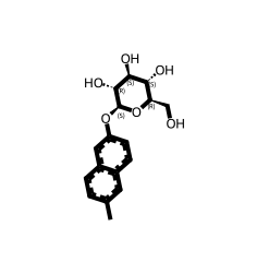 Cc1ccc2cc(O[C@@H]3O[C@H](CO)[C@@H](O)[C@H](O)[C@H]3O)ccc2c1